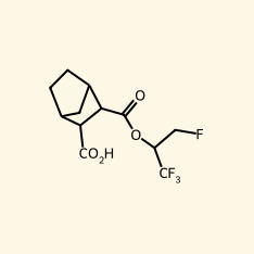 O=C(O)C1C2CCC(C2)C1C(=O)OC(CF)C(F)(F)F